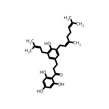 CC(C)=CCCC(C)=CCc1cc(CCC(=O)c2c(O)cc(O)cc2O)cc(CC=C(C)C)c1O